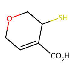 O=C(O)C1=CCOCC1S